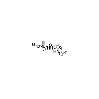 CN(C)CCOCCNC(=O)/C=C/C(=O)Nc1ccc2ncnc(Nc3cccc(Br)c3)c2c1